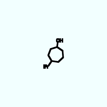 CC(C)C1CCCC(O)CC1